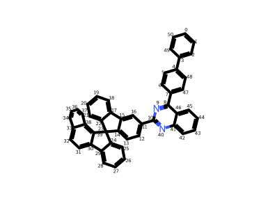 c1ccc(-c2ccc(-c3nc(-c4ccc5c(c4)-c4ccccc4C54c5ccccc5-c5ccc6ccccc6c54)nc4ccccc34)cc2)cc1